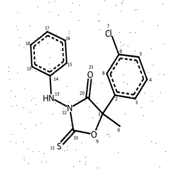 CC1(c2cccc(Cl)c2)OC(=S)N(Nc2ccccc2)C1=O